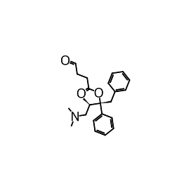 C[C@H](CN(C)C)[C@](Cc1ccccc1)(OC(=O)CCC=O)c1ccccc1